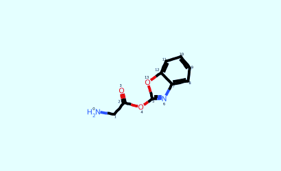 NCC(=O)Oc1nc2ccccc2o1